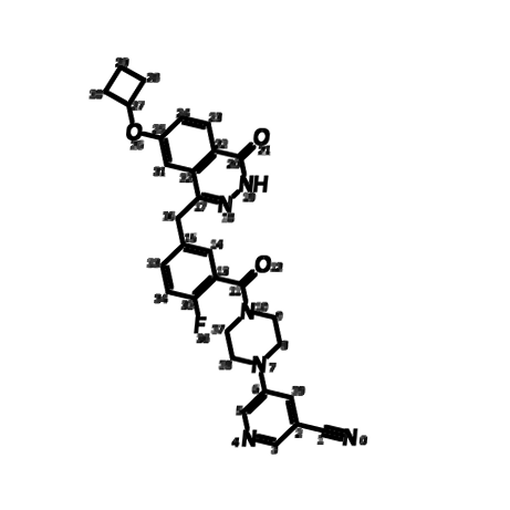 N#Cc1cncc(N2CCN(C(=O)c3cc(Cc4n[nH]c(=O)c5ccc(OC6CCC6)cc45)ccc3F)CC2)c1